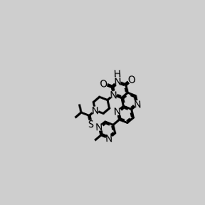 Cc1ncc(-c2ccc3ncc4c(=O)[nH]c(=O)n(C5CCN(C(=S)C(C)C)CC5)c4c3n2)cn1